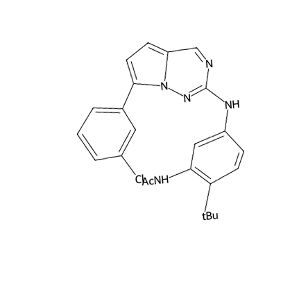 CC(=O)Nc1cc(Nc2ncc3ccc(-c4cccc(Cl)c4)n3n2)ccc1C(C)(C)C